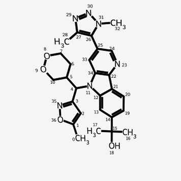 Cc1cc(C(C2CCOOC2)n2c3cc(C(C)(C)O)ccc3c3ncc(-c4c(C)nnn4C)cc32)no1